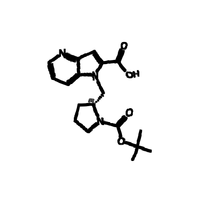 CC(C)(C)OC(=O)N1CCC[C@@H]1Cn1c(C(=O)O)cc2ncccc21